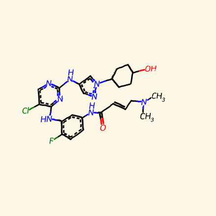 CN(C)C/C=C/C(=O)Nc1ccc(F)c(Nc2nc(Nc3cnn(C4CCC(O)CC4)c3)ncc2Cl)c1